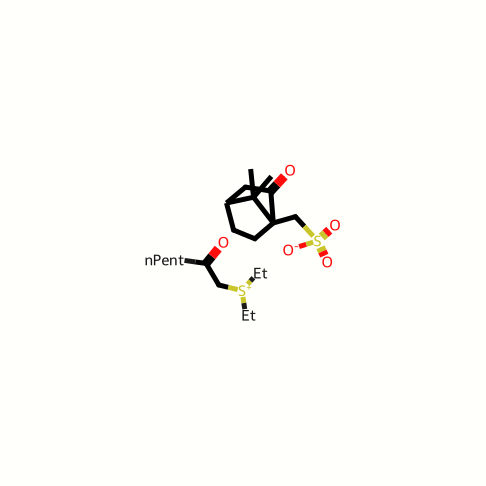 CC1(C)C2CCC1(CS(=O)(=O)[O-])C(=O)C2.CCCCCC(=O)C[S+](CC)CC